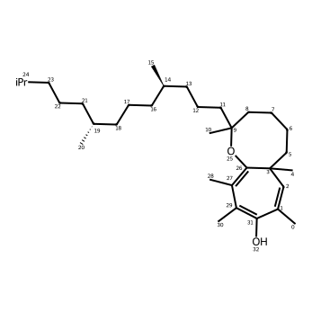 CC1=CC2(C)CCCCC(C)(CCC[C@H](C)CCC[C@H](C)CCCC(C)C)OC2=C(C)C(C)=C1O